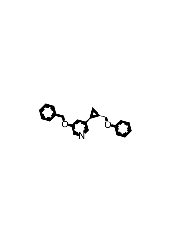 c1ccc(COc2cncc([C@H]3C[C@@H]3COc3ccccc3)c2)cc1